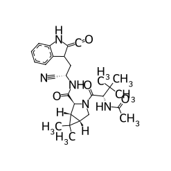 CC(=O)N[C@H](C(=O)N1C[C@H]2[C@@H]([C@H]1C(=O)N[C@H](C#N)CC1C(=C=O)Nc3ccccc31)C2(C)C)C(C)(C)C